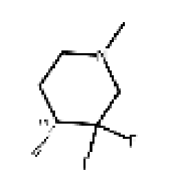 C[C@@H]1CCN(C)CC1(F)F